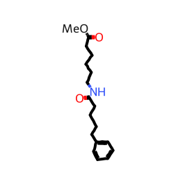 COC(=O)CCCCCNC(=O)CCCCc1ccccc1